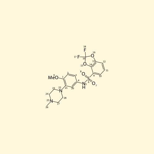 COc1ccc(NS(=O)(=O)c2cccc3c2OC(F)(F)O3)cc1N1CCN(C)CC1